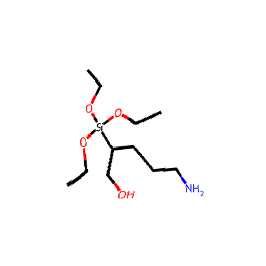 CCO[Si](OCC)(OCC)C(CO)CCCN